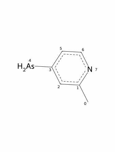 Cc1cc([AsH2])ccn1